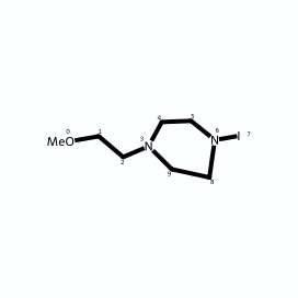 COCCN1CCN(I)CC1